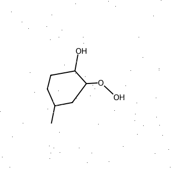 CC1CCC(O)C(OO)C1